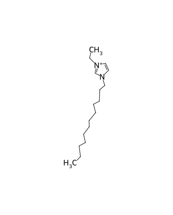 CCCCCCCCCCCCn1cc[n+](CC)c1